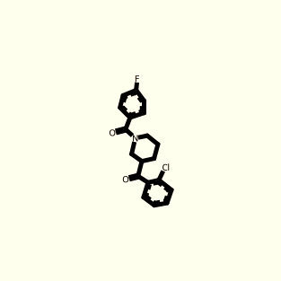 O=C(c1ccccc1Cl)C1CCCN(C(=O)c2ccc(F)cc2)C1